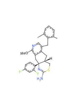 COc1ncc(Cc2c(C)cccc2C)c2c1C[C@@]1(c3ccc(F)cc3F)N=C(N)SC[C@H]1C2